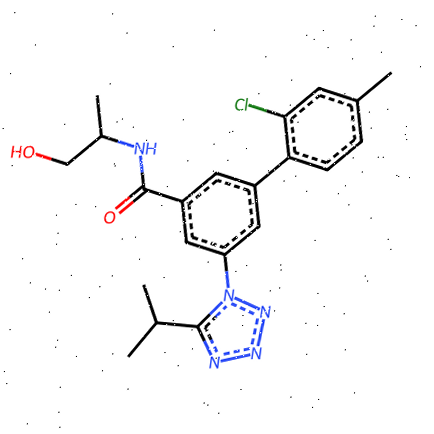 Cc1ccc(-c2cc(C(=O)NC(C)CO)cc(-n3nnnc3C(C)C)c2)c(Cl)c1